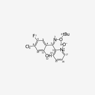 CC(C)(C)ON=C(c1cc(F)c(Cl)cc1O)c1cccc[n+]1[O-]